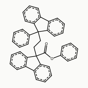 O=C(Oc1ccccc1)C1(CCC2(c3ccccc3)c3ccccc3-c3ccccc32)c2ccccc2-c2ccccc21